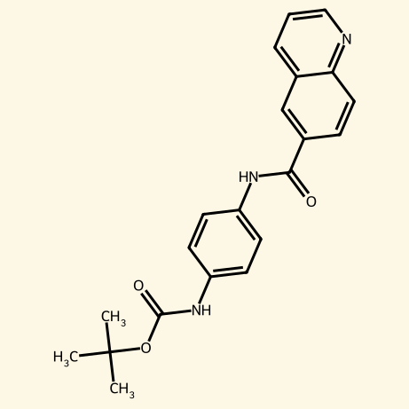 CC(C)(C)OC(=O)Nc1ccc(NC(=O)c2ccc3ncccc3c2)cc1